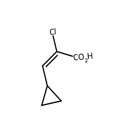 O=C(O)/C(Cl)=C\C1CC1